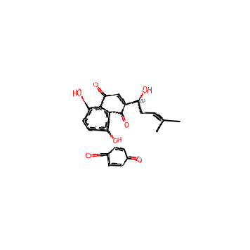 CC(C)=CC[C@H](O)C1=CC(=O)c2c(O)ccc(O)c2C1=O.O=C1C=CC(=O)C=C1